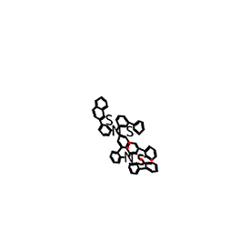 c1cc(-c2ccccc2N(c2cccc3c2sc2ccccc23)c2cccc3c2sc2ccccc23)cc(N(c2cccc3c2sc2ccccc23)c2cccc3c2sc2c4ccccc4ccc32)c1